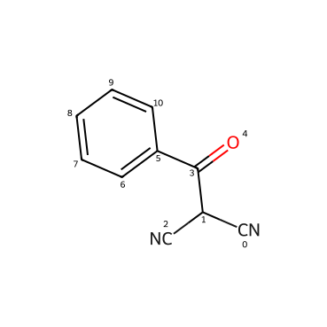 N#CC(C#N)C(=O)c1ccccc1